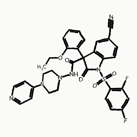 CCOc1ccccc1C1(C(=O)NN2CCN(c3ccncc3)CC2)C(=O)N(S(=O)(=O)c2ccc(F)cc2F)c2ccc(C#N)cc21